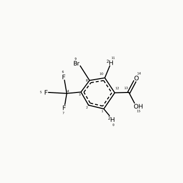 [2H]c1cc(C(F)(F)F)c(Br)c([2H])c1C(=O)O